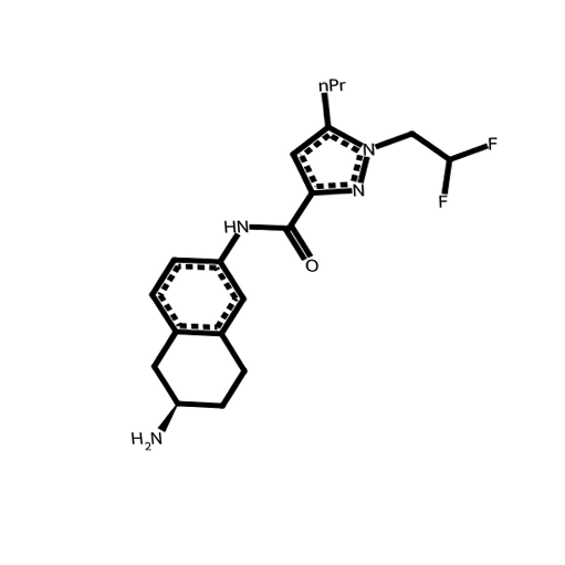 CCCc1cc(C(=O)Nc2ccc3c(c2)CC[C@@H](N)C3)nn1CC(F)F